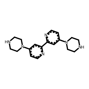 c1cc(N2CCNCC2)cc(-c2cc(N3CCNCC3)ccn2)n1